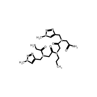 CCCN(CC(=O)N(CC(N)=O)Cc1cn(C)nn1)C(=O)CN(Cc1cn(C)nn1)C(=O)CN